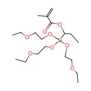 C=C(C)C(=O)OC(CC)[Si](OCCOCC)(OCCOCC)OCCOCC